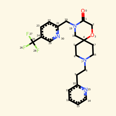 O=C1COC2(CCN(CCc3ccccn3)CC2)CN1Cc1ccc(C(F)(F)F)cn1